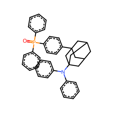 O=P(c1ccccc1)(c1ccccc1)c1ccc(C23CC4CC(C2)CC(N(c2ccccc2)c2ccccc2)(C4)C3)cc1